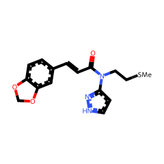 CSCCN(C(=O)C=Cc1ccc2c(c1)OCO2)c1cc[nH]n1